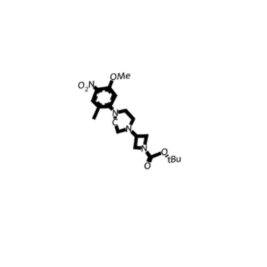 COc1cc(N2CCN(C3CN(C(=O)OC(C)(C)C)C3)CC2)c(C)cc1[N+](=O)[O-]